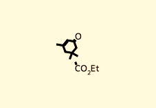 CC1=CC(=O)CC(C)(C)C1.CCOC(C)=O